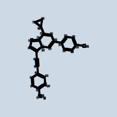 Nc1ccc(C#Cc2cnc3c(C4CC4)cc(-c4ccc(Cl)cc4)cn23)cn1